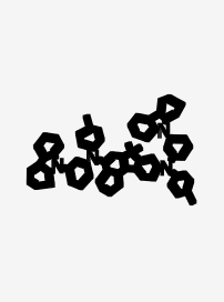 Cc1ccc(N(c2cccc(-n3c4ccccc4c4ccccc43)c2)c2ccc3c(c2)C(C)(C)c2cc(N(c4ccc(C)cc4)c4cccc(-n5c6ccccc6c6ccccc65)c4)c4ccccc4c2-3)cc1